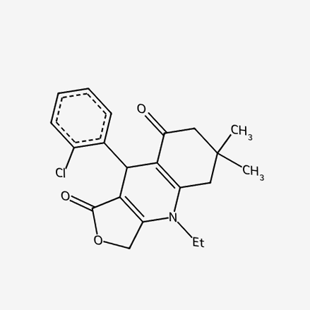 CCN1C2=C(C(=O)CC(C)(C)C2)C(c2ccccc2Cl)C2=C1COC2=O